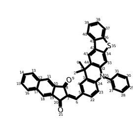 CC1(C)c2cc(C=C3C(=O)c4cc5ccccc5cc4C3=O)ccc2N(c2ccccc2)c2cc3sc4ccccc4c3cc21